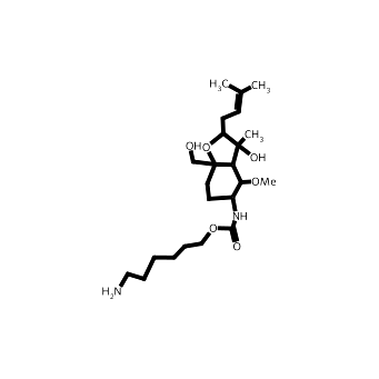 COC1C(NC(=O)OCCCCCCN)CCC2(CO)OC(CC=C(C)C)C(C)(O)C12